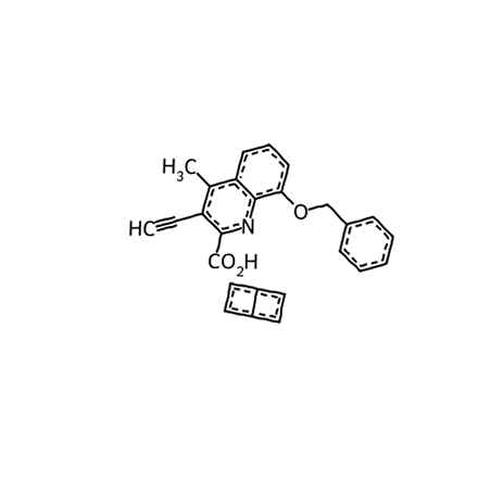 C#Cc1c(C(=O)O)nc2c(OCc3ccccc3)cccc2c1C.c1cc2ccc1-2